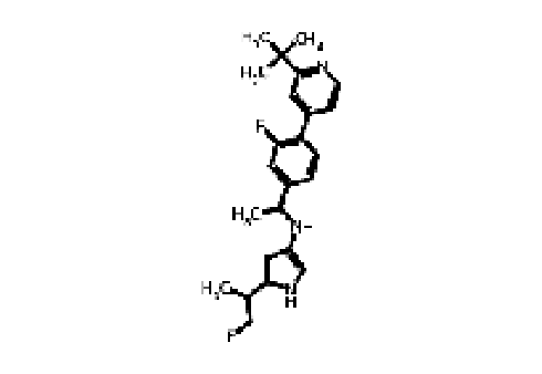 CC(NC1=CNC(C(C)CF)C1)c1ccc(-c2ccnc(C(C)(C)C)c2)c(F)c1